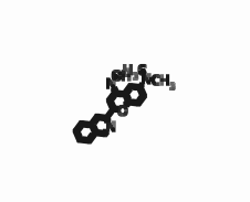 CN(C)c1ccc2oc(-c3cc4ccccc4cn3)c/c(=N/O)c2c1